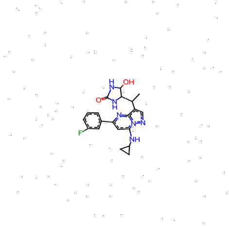 CC(c1cnn2c(NC3CC3)cc(-c3cccc(F)c3)nc12)C1NC(=O)NC1O